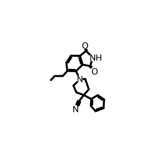 CCCc1ccc2c(c1N1CCC(C#N)(c3ccccc3)CC1)C(=O)NC2=O